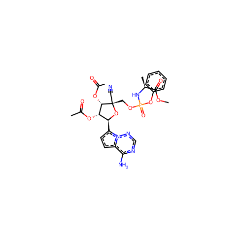 COC(=O)[C@H](C)NP(=O)(OC[C@@]1(C#N)O[C@@H](c2ccc3c(N)ncnn23)[C@H](OC(C)=O)[C@@H]1OC(C)=O)Oc1ccccc1